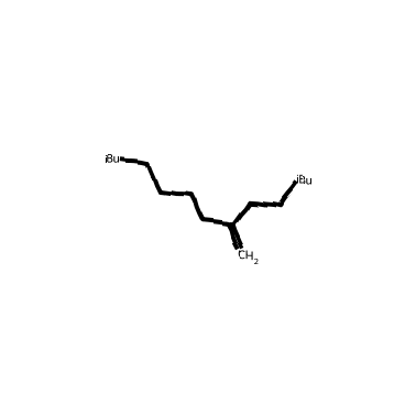 C=C(CCCCC(C)CC)CCC(C)CC